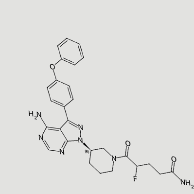 NC(=O)CCC(F)C(=O)N1CCC[C@@H](n2nc(-c3ccc(Oc4ccccc4)cc3)c3c(N)ncnc32)C1